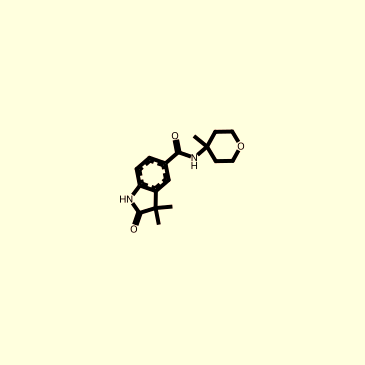 CC1(NC(=O)c2ccc3c(c2)C(C)(C)C(=O)N3)CCOCC1